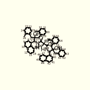 CCCC(CCC)(C(=O)N[C@@H](c1cccc2ccccc12)C(O)(Cc1ccccc1C)Cc1ccccc1C)C(=O)N[C@@H](c1cccc2ccccc12)C(O)(Cc1ccccc1C)Cc1ccccc1C